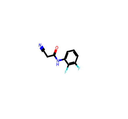 N#CCC(=O)Nc1cccc(F)c1F